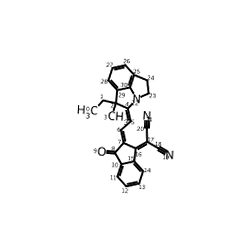 CCC1(C)/C(=C\C=C2\C(=O)c3ccccc3C2=C(C#N)C#N)N2CCc3cccc1c32